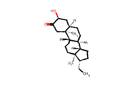 CC[C@H]1CC[C@H]2[C@@H]3CC[C@@H]4C[C@H](O)C(=O)C[C@]4(C)[C@H]3CC[C@]12C